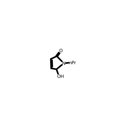 CCCN1C(=O)C=CC1O